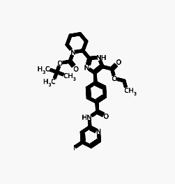 CCOC(=O)c1[nH]c(C2CCCCN2C(=O)OC(C)(C)C)nc1-c1ccc(C(=O)Nc2cc(I)ccn2)cc1